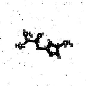 Cc1nc(CC(=O)C(C)C)cs1